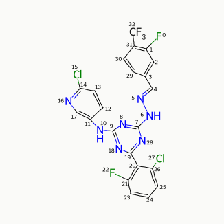 Fc1cc(C=NNc2nc(Nc3ccc(Cl)nc3)nc(-c3c(F)cccc3Cl)n2)ccc1C(F)(F)F